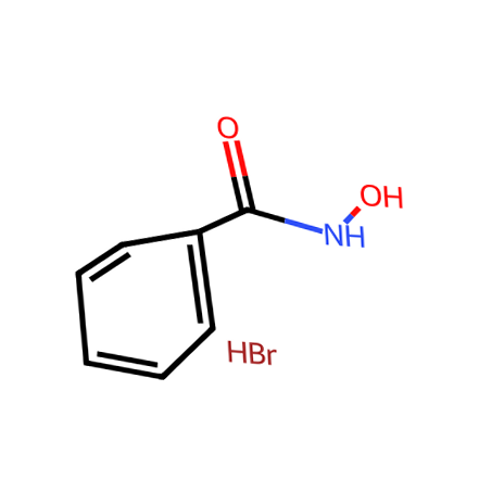 Br.O=C(NO)c1ccccc1